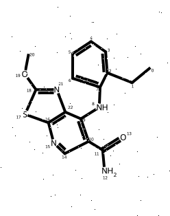 CCc1ccccc1Nc1c(C(N)=O)cnc2sc(OC)nc12